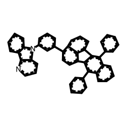 c1ccc(-c2c3c(c(-c4ccccc4)c4ccccc24)-c2ccc(-c4cccc(-n5c6ccccc6c6ncccc65)c4)c4cccc-3c24)cc1